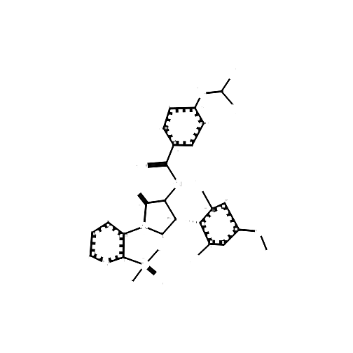 COc1cc(F)c([C@@H]2CN(c3cccnc3P(C)(C)=O)C(=O)C2NC(=O)c2ccc(OC(F)F)cc2)c(F)c1